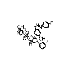 Cc1cc2c(cnn2-c2ccc(F)cc2)cc1[C@]12CC(c3ccccc3)C[C@H]1CN(S(=O)(=O)c1cnn(C)c1)C2